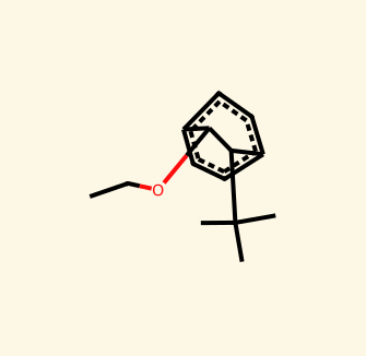 CCOC1c2ccc(cc2)C1C(C)(C)C